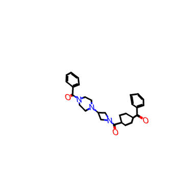 O=C(c1ccccc1)C1CCC(C(=O)N2CC(N3CCN(C(=O)c4ccccc4)CC3)C2)CC1